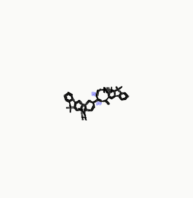 C=C1/C=C(C2C=Cc3[nH]c4cc5c(cc4c3C2)-c2ccccc2C5(C)C)\C=C/CNc2cc3c(cc21)-c1ccccc1C3(C)C